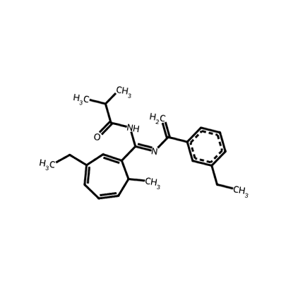 C=C(/N=C(\NC(=O)C(C)C)C1=CC(CC)=CC=CC1C)c1cccc(CC)c1